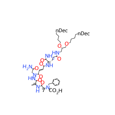 CCCCCCCCCCCCCCOCC(CNC(=O)CC[C@H](NC(=O)C=CC(=O)N(CC(N)=O)NC(=O)[C@H](C)NC(=O)[C@H](C)N(Cc1ccccc1)C(=O)O)C(N)=O)OCCCCCCCCCCCCCC